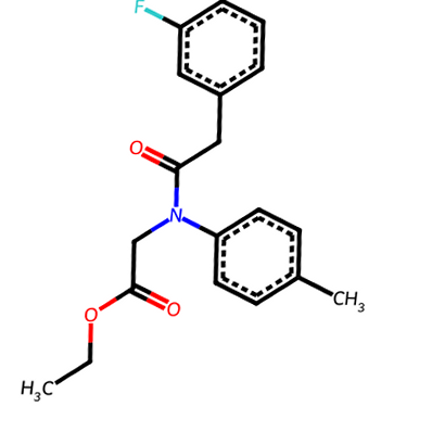 CCOC(=O)CN(C(=O)Cc1cccc(F)c1)c1ccc(C)cc1